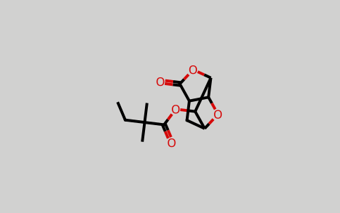 CCC(C)(C)C(=O)OC1C2CC3C(=O)OC1C3O2